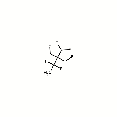 CC(F)(F)C(CF)(CF)C(F)F